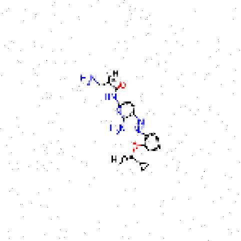 C=C(Oc1ccccc1/N=N/c1ccc(NC(=O)[C@H](C)CN)nc1N)C1CC1